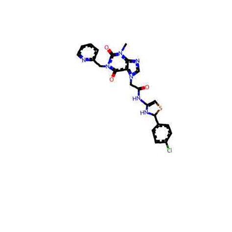 Cn1c(=O)n(Cc2ccccn2)c(=O)c2c1ncn2CC(=O)NC1=CSC(c2ccc(Cl)cc2)N1